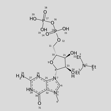 CCN(CC)CC.C[n+]1cn([C@@H]2O[C@H](COP(=O)(O)OP(=O)(O)O)[C@@H](O)[C@H]2O)c2nc(N)[nH]c(=O)c21